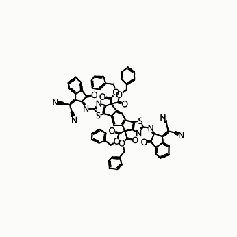 N#CC(C#N)=C1/C(=N/c2nc3c(s2)-c2cc4c(cc2C3(C(=O)OCc2ccccc2)C(=O)OCc2ccccc2)-c2sc(/N=C3\C(=O)c5ccccc5C3=C(C#N)C#N)nc2C4(C(=O)OCc2ccccc2)C(=O)OCc2ccccc2)C(=O)c2ccccc21